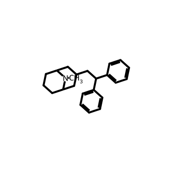 CN1C2CCCC1CC(CC(c1ccccc1)c1ccccc1)C2